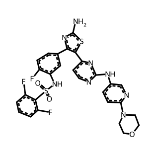 Nc1nc(-c2ccc(F)c(NS(=O)(=O)c3c(F)cccc3F)c2)c(-c2ccnc(Nc3ccc(N4CCOCC4)nc3)n2)s1